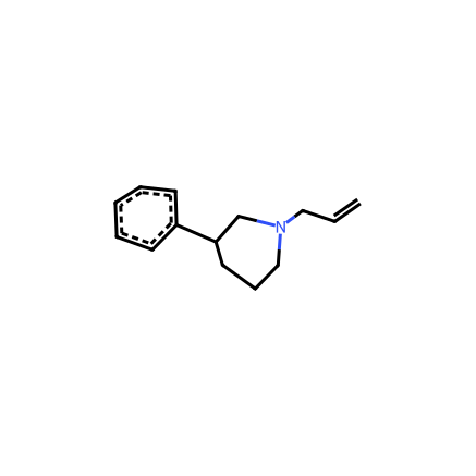 C=CCN1CCCC(c2ccccc2)C1